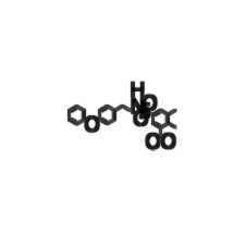 COC(=O)c1cc(S(=O)(=O)NCCc2ccc(Oc3ccccc3)cc2)cc(C)c1C